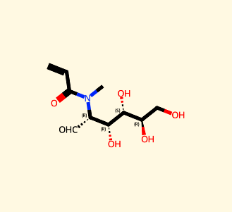 C=CC(=O)N(C)[C@@H](C=O)[C@@H](O)[C@H](O)[C@H](O)CO